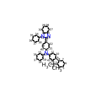 CC1(C)c2ccccc2-c2ccc(N(c3ccccc3)C3C=CC(c4nc5ccccc5n4-c4ccccc4)=CC3)cc21